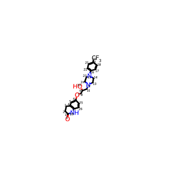 O=C1CCc2cc(OCC(O)CN3CCN(c4ccc(C(F)(F)F)cc4)CC3)ccc2N1